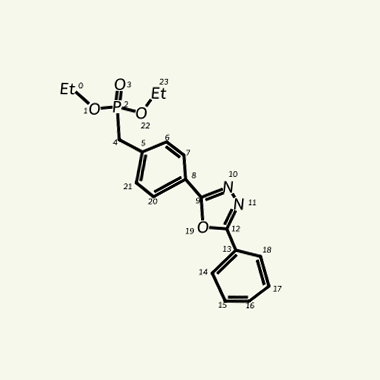 CCOP(=O)(Cc1ccc(-c2nnc(-c3ccccc3)o2)cc1)OCC